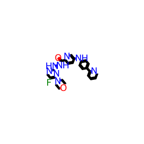 O=C(NNc1ncc(F)c(N2CCOCC2)n1)c1ccc(Nc2ccc(-c3ccccn3)cc2)cn1